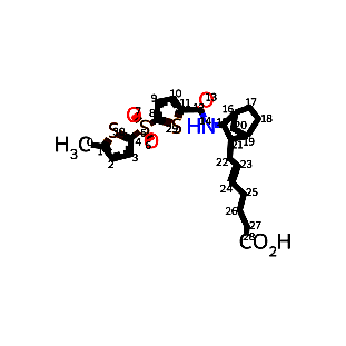 Cc1ccc(S(=O)(=O)c2ccc(C(=O)NC3C4CCC(C4)C3CC=CCCCC(=O)O)s2)s1